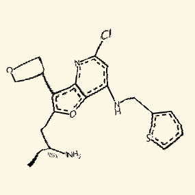 C[C@H](N)Cc1oc2c(NCc3cccs3)cc(Cl)nc2c1C1COC1